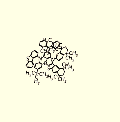 Cc1ccccc1N(c1cc2c3c(c1)N(c1cccc4sc5ccccc5c14)c1ccc(C(C)(C)C)cc1B3c1sc3cc4c(cc3c1N2c1ccc2c(c1)C(C)(C)CCC2(C)C)C(C)(C)CCC4(C)C)c1ccccc1C